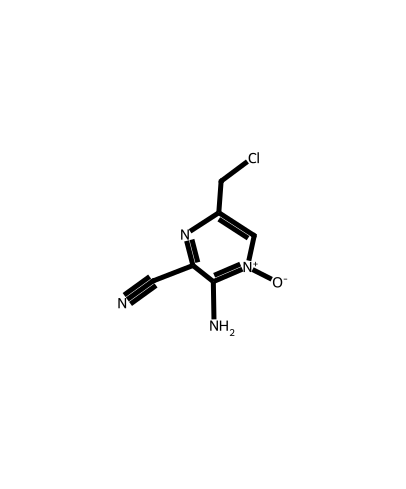 N#Cc1nc(CCl)c[n+]([O-])c1N